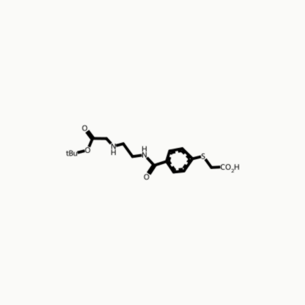 CC(C)(C)OC(=O)CNCCNC(=O)c1ccc(SCC(=O)O)cc1